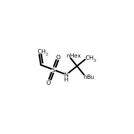 C=CS(=O)(=O)NC(C)(CCCC)CCCCCC